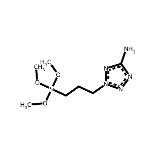 CO[Si](CCCn1nnc(N)n1)(OC)OC